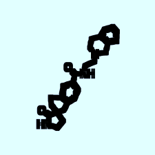 O=C(NCCN1CCc2ccccc2C1)c1ccc2c(c1)CCC1(CCNC1=O)C2